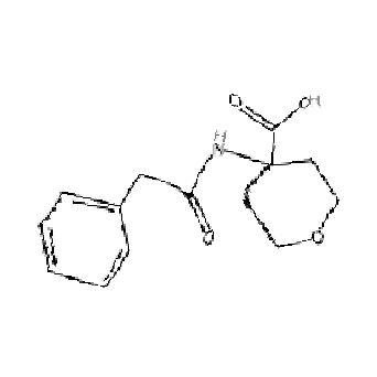 O=C(Cc1ccccc1)NC1(C(=O)O)CCOCC1